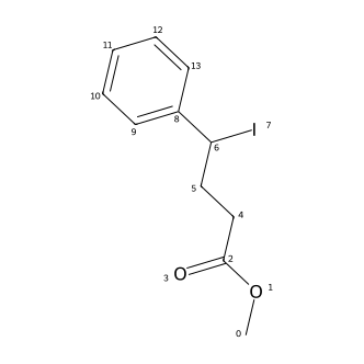 COC(=O)CCC(I)c1ccccc1